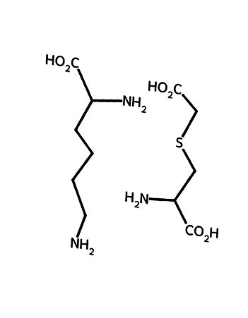 NC(CSCC(=O)O)C(=O)O.NCCCCC(N)C(=O)O